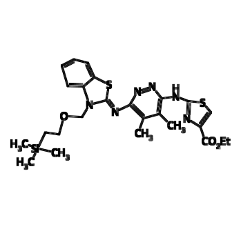 CCOC(=O)c1csc(Nc2nnc(/N=c3\sc4ccccc4n3COCC[Si](C)(C)C)c(C)c2C)n1